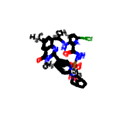 Cc1cc([C@@H](C)Nc2ccc(Cl)nc2C(=O)NS(C)(=O)=O)c2nc(-c3ccc(N4CC5CCC(C4)C5O)nc3)n(C)c(=O)c2c1